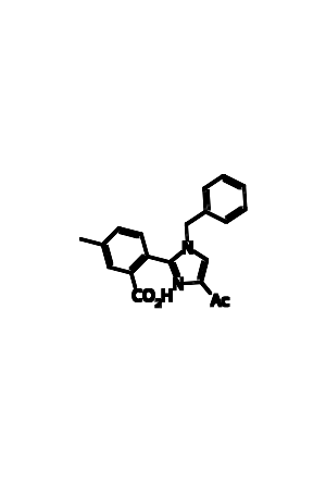 CC(=O)c1cn(Cc2ccccc2)c(-c2ccc(C)cc2C(=O)O)n1